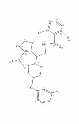 Cc1ccnc(OC2CCN(C(CNC(=O)c3c(F)cccc3Cl)C3=C(C(F)F)NCS3)CC2)c1